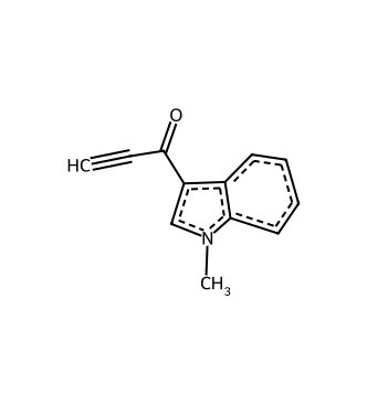 C#CC(=O)c1cn(C)c2ccccc12